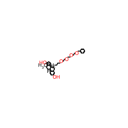 C[C@]12CC[C@@H]3c4ccc(O)cc4C[C@@H](CCCCOCCOCCOCCOCc4ccccc4)[C@H]3[C@@H]1CC[C@@H]2O